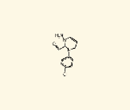 NN1C=CCN(c2ccc(Cl)cc2)C1C=O